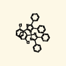 ClC1=C(C2(n3c(-c4ccccc4Cl)nc(-c4ccccc4)c3-c3ccccc3)N=C(c3ccccc3)C(c3ccccc3)=N2)CCC=C1